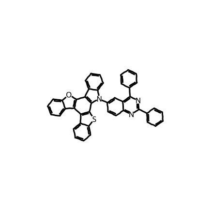 c1ccc(-c2nc(-c3ccccc3)c3cc(-n4c5ccccc5c5c6oc7ccccc7c6c6c7ccccc7sc6c54)ccc3n2)cc1